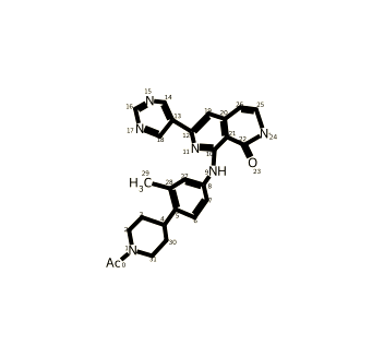 CC(=O)N1CCC(c2ccc(Nc3nc(-c4cncnc4)cc4c3C(=O)[N]C=C4)cc2C)CC1